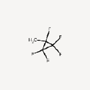 [CH2]C1(F)C(F)(F)C1(F)F